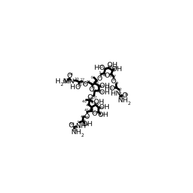 C/C(OCC1OC(COCC(O)CNC(N)=O)C(O)C(O)C1O)=C1\C(COCC(O)CNC(N)=O)OC(COC(C)(C)CC2C(COCC(O)CNC(N)=O)OC(O)C(O)C2O)C(O)C1O